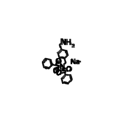 NCc1ccc(CN(S(=O)(=O)c2ccccc2)S(=O)(=O)c2ccccc2)cc1.[Na]